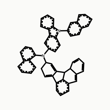 C1=CC2=Cc3cccc4c3C(C3=CC(N(c5ccc6c(c5)c5ccccc5n6-c5ccc6ccccc6c5)c5cccc6ccccc56)CC=C34)C2C=C1